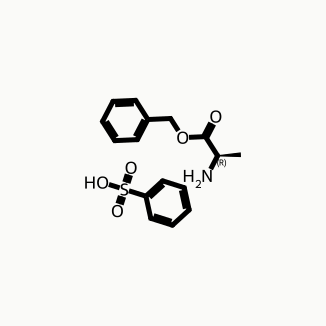 C[C@@H](N)C(=O)OCc1ccccc1.O=S(=O)(O)c1ccccc1